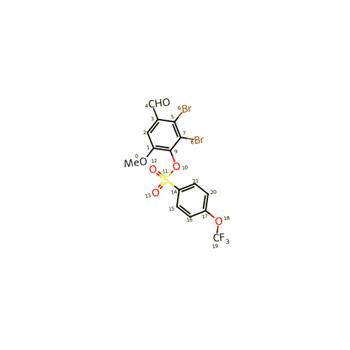 COc1cc(C=O)c(Br)c(Br)c1OS(=O)(=O)c1ccc(OC(F)(F)F)cc1